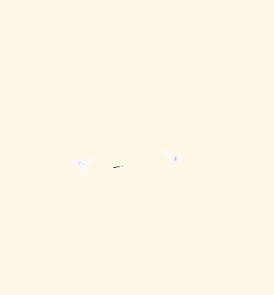 O=c1cc([C@@H]2CCN[C@@H](Cc3ccccc3F)C2)o[nH]1